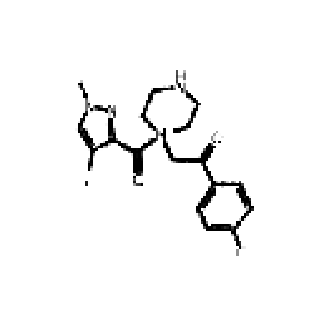 Cn1cc(I)c(C(=O)[N+]2(CC(=O)c3ccc(F)cc3)CCNCC2)n1